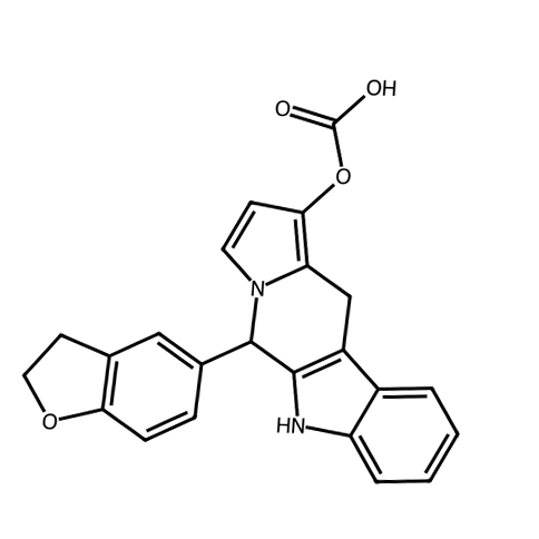 O=C(O)Oc1ccn2c1Cc1c([nH]c3ccccc13)C2c1ccc2c(c1)CCO2